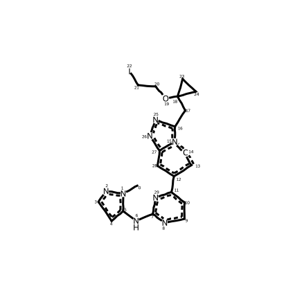 Cn1nccc1Nc1nccc(-c2ccn3c(CC4(OCCI)CC4)nnc3c2)n1